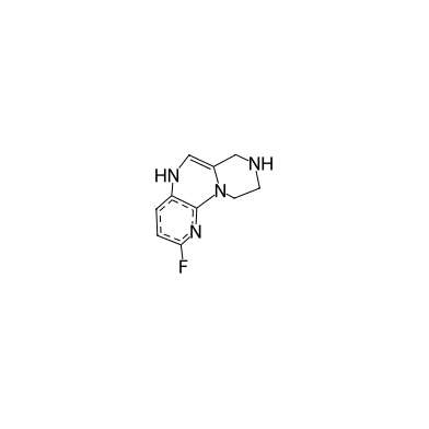 Fc1ccc2c(n1)N1CCNCC1=CN2